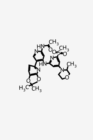 CC(=O)Nc1cc(Nc2cc(N3CCOCC3C)cc(S(C)(=O)=O)n2)c(-c2ccc3c(n2)OCC(C)(C)O3)cn1